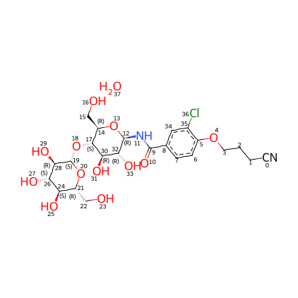 N#CCCCOc1ccc(C(=O)N[C@@H]2O[C@H](CO)[C@@H](O[C@@H]3O[C@H](CO)[C@@H](O)[C@H](O)[C@H]3O)[C@H](O)[C@H]2O)cc1Cl.O